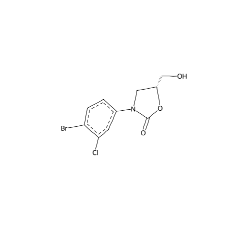 O=C1O[C@@H](CO)CN1c1ccc(Br)c(Cl)c1